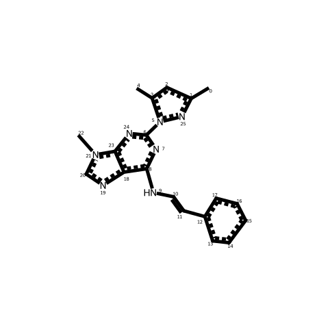 Cc1cc(C)n(-c2nc(NC=Cc3ccccc3)c3ncn(C)c3n2)n1